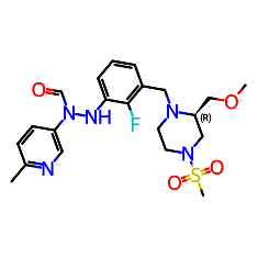 COC[C@H]1CN(S(C)(=O)=O)CCN1Cc1cccc(NN(C=O)c2ccc(C)nc2)c1F